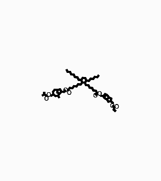 C=CC(=O)OCC1CC2C3CC(COC(=O)CCCCCCC4C(CCCCCC)CCC(CCCCCCCC)C4CCCCCCC(=O)OCC4CC5CCC(COC(=O)C(=C)C)CC(C)C4C5)C(C3)C2C1